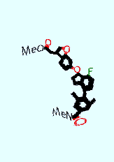 CNC(=O)c1cc(C)c(-c2ccc(F)c3c2CC[C@H]3Oc2ccc3c(c2)OCC3CC(=O)OC)c(C)c1